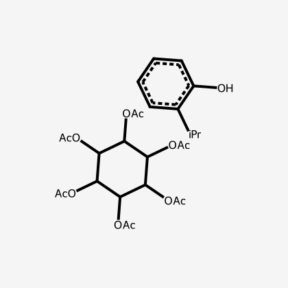 CC(=O)OC1C(OC(C)=O)C(OC(C)=O)C(OC(C)=O)C(OC(C)=O)C1OC(C)=O.CC(C)c1ccccc1O